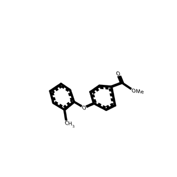 COC(=O)c1ccc(Oc2ccccc2C)cc1